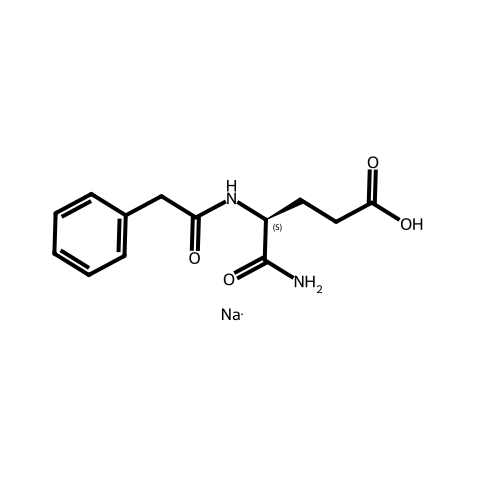 NC(=O)[C@H](CCC(=O)O)NC(=O)Cc1ccccc1.[Na]